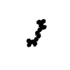 c1ccc(N(c2ccccc2)c2ccc3c(c2)c2cnccc2n3-c2ccc(-c3ccnc(-c4cc(-c5ccc(-n6c7ccncc7c7cc(N(c8ccccc8)c8ccccc8)ccc76)cc5)ccn4)c3)cc2)cc1